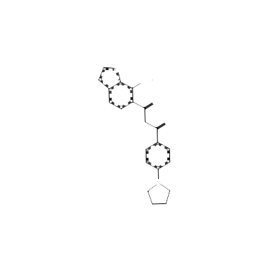 COc1c(C(=O)CC(=O)c2ccc(N3CCCC3)cc2)ccc2cc[nH]c12